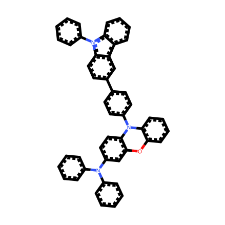 c1ccc(N(c2ccccc2)c2ccc3c(c2)Oc2ccccc2N3c2ccc(-c3ccc4c(c3)c3ccccc3n4-c3ccccc3)cc2)cc1